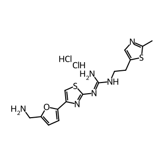 Cc1ncc(CCN/C(N)=N/c2nc(-c3ccc(CN)o3)cs2)s1.Cl.Cl